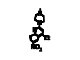 CCc1cc(N2CCN(C)CC2)nc2ccc([N+](=O)[O-])cc12